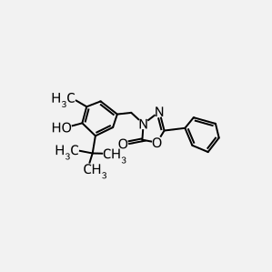 Cc1cc(Cn2nc(-c3ccccc3)oc2=O)cc(C(C)(C)C)c1O